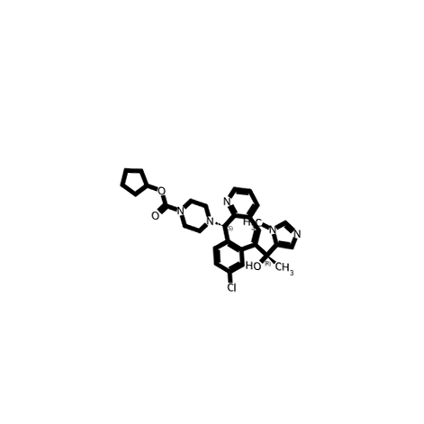 Cn1cncc1[C@](C)(O)C1=Cc2cccnc2[C@@H](N2CCN(C(=O)OC3CCCC3)CC2)c2ccc(Cl)cc21